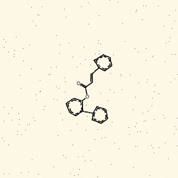 O=C(C=Cc1ccccc1)Oc1ccccc1-c1ccccc1